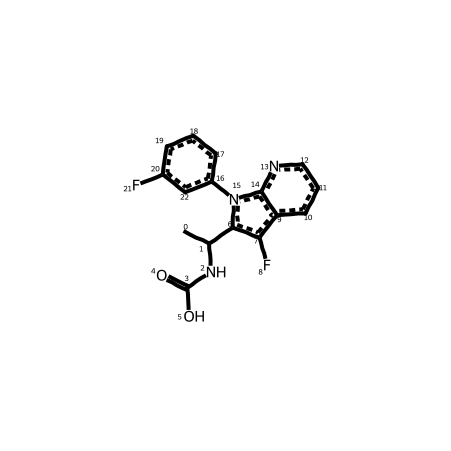 CC(NC(=O)O)c1c(F)c2cccnc2n1-c1cccc(F)c1